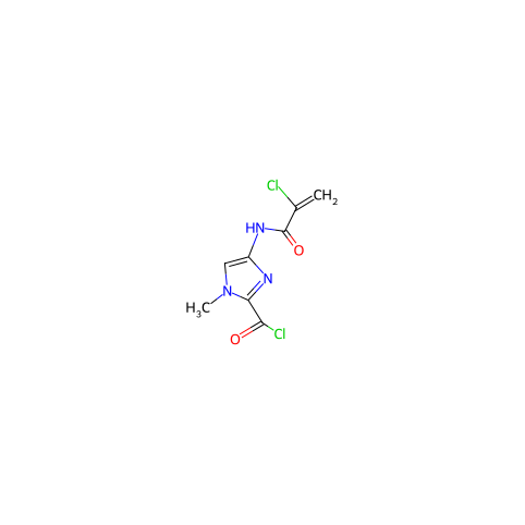 C=C(Cl)C(=O)Nc1cn(C)c(C(=O)Cl)n1